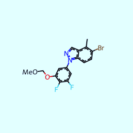 COCOc1cc(-n2ncc3c(C)c(Br)ccc32)cc(F)c1F